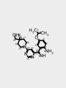 CC(C)Oc1ccc(N)c(C(=N)c2cc(N3CCC(F)(CO)CC3)ncn2)c1